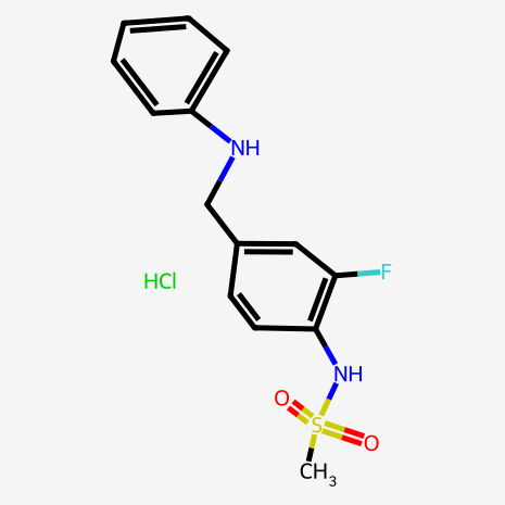 CS(=O)(=O)Nc1ccc(CNc2ccccc2)cc1F.Cl